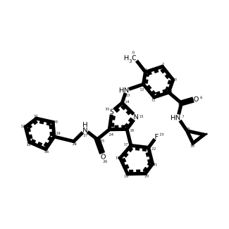 Cc1ccc(C(=O)NC2CC2)cc1Nc1nc(-c2ccccc2F)c(C(=O)NCc2ccccc2)s1